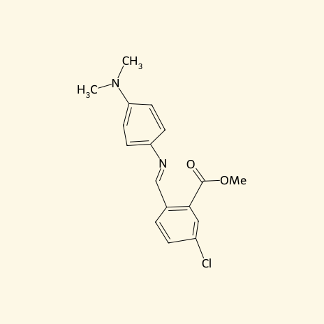 COC(=O)c1cc(Cl)ccc1/C=N/c1ccc(N(C)C)cc1